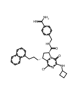 N=C(N)c1ccc(CNC(=O)[C@@H]2C[C@@H](CCCc3cccc4ccccc34)c3c(Cl)nc(NC4CCC4)c(=O)n32)cc1